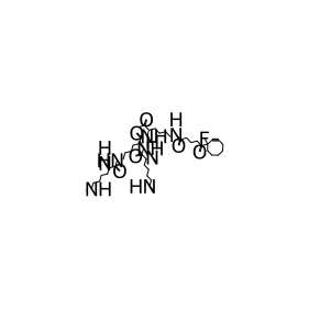 CNCCCCC(NC)C(=O)NCCCCC(NC(=O)C(CCCCNC)NC)C(=O)NC(CCCCNC(=O)CCCC(=O)C1(F)C#CCCCCC1)C(C)=O